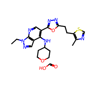 CCn1ncc2c(NC3CCOCC3)c(-c3nnc(CCc4scnc4C)o3)cnc21.O=CO